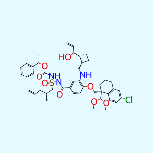 C=CC[C@H](C)C[S@](=O)(=NC(=O)c1ccc(OC[C@@]2(C(OC)OC)CCCc3cc(Cl)ccc32)c(NC[C@@H]2CC[C@H]2[C@@H](O)C=C)c1)NC(=O)O[C@@H](C)c1ccccc1